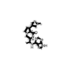 CC(Nc1ncnc2[nH]cnc12)c1cn2ccc(-c3cnn(C)c3)c2c(=O)[nH]1